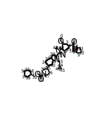 COc1cc(C(=O)N2CC3CCC2[C@@H]3C)cc2nc(-c3cc4ccc(C5CCN(C(=O)OCc6ccccc6)C5)cc4n3CC3CC3)n(C)c12